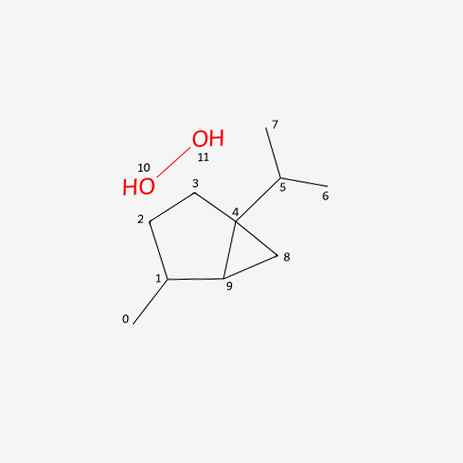 CC1CCC2(C(C)C)CC12.OO